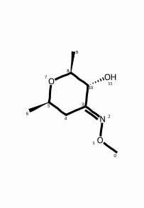 CON=C1C[C@@H](C)O[C@@H](C)[C@@H]1O